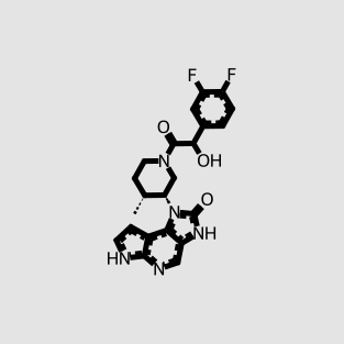 C[C@@H]1CCN(C(=O)C(O)c2ccc(F)c(F)c2)C[C@@H]1n1c(=O)[nH]c2cnc3[nH]ccc3c21